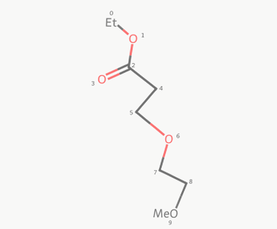 CCOC(=O)CCOCCOC